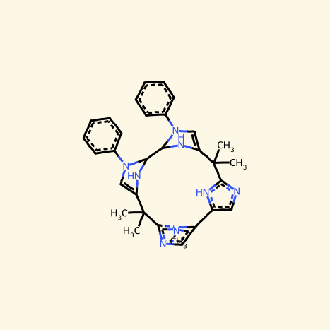 Cn1c2cnc1C(C)(C)C1=CN(c3ccccc3)C(N1)C1NC(=CN1c1ccccc1)C(C)(C)c1ncc-2[nH]1